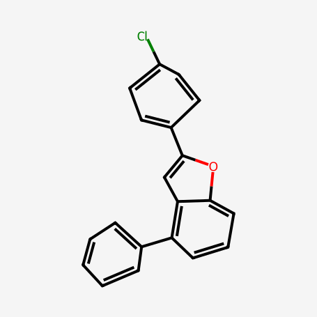 Clc1ccc(-c2cc3c(-c4ccccc4)cccc3o2)cc1